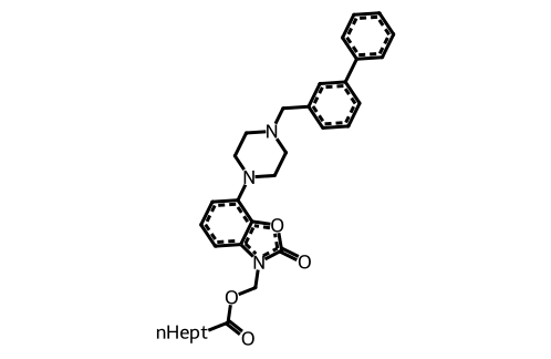 CCCCCCCC(=O)OCn1c(=O)oc2c(N3CCN(Cc4cccc(-c5ccccc5)c4)CC3)cccc21